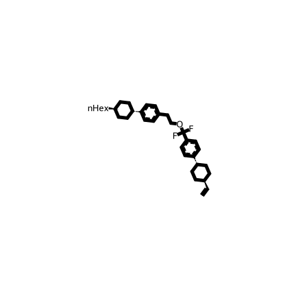 C=C[C@H]1CC[C@H](c2ccc(C(F)(F)OCCc3ccc([C@H]4CC[C@H](CCCCCC)CC4)cc3)cc2)CC1